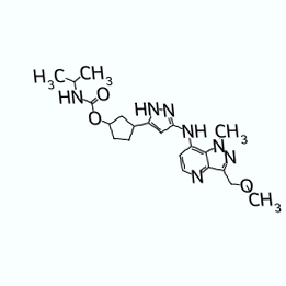 COCc1nn(C)c2c(Nc3cc(C4CCC(OC(=O)NC(C)C)C4)[nH]n3)ccnc12